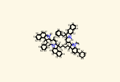 CC[N+]1=C(C=C(C)C=C2N(C)c3cc4ccccc4cc3C2(C)Cc2ccccc2)C(C)(CCCCC2(C)C(C=C(C)C=C3N(C)c4ccc5ccccc5c4C3(C)Cc3ccccc3)=[N+](CC)c3ccc4ccccc4c32)c2ccc(C3CCCCC3)cc21